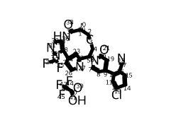 C[C@@H]1CCC[C@H](n2ccc(-c3cc(Cl)ccc3C#N)cc2=O)c2cc(ccn2)-c2c(cnn2C(F)F)NC1=O.O=C(O)C(F)(F)F